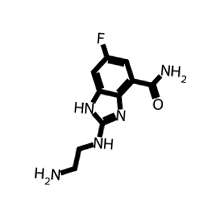 NCCNc1nc2c(C(N)=O)cc(F)cc2[nH]1